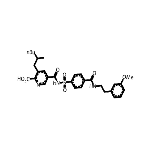 CCCCC(C)Cc1cc(C(=O)NS(=O)(=O)c2ccc(C(=O)NCCc3cccc(OC)c3)cc2)cnc1C(=O)O